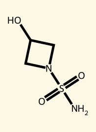 NS(=O)(=O)N1CC(O)C1